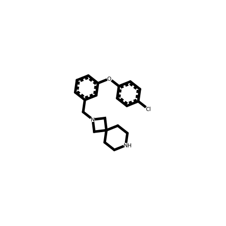 Clc1ccc(Oc2cccc(CN3CC4(CCNCC4)C3)c2)cc1